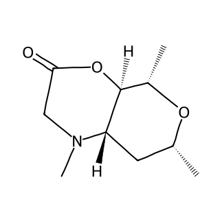 C[C@@H]1C[C@H]2[C@@H](OC(=O)CN2C)[C@H](C)O1